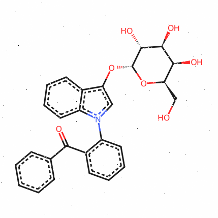 O=C(c1ccccc1)c1ccccc1-n1cc(O[C@H]2O[C@H](CO)[C@H](O)[C@H](O)[C@H]2O)c2ccccc21